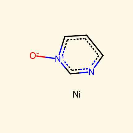 [Ni].[O-][n+]1cccnc1